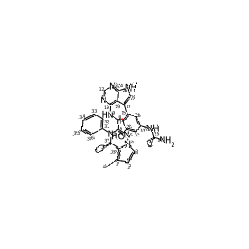 Cc1ccn2nc(C(C)Nc3ncnc4[nH]cc(-c5cc(O)cc(NC(N)=O)c5)c34)n(-c3ccccc3)c(=O)c12